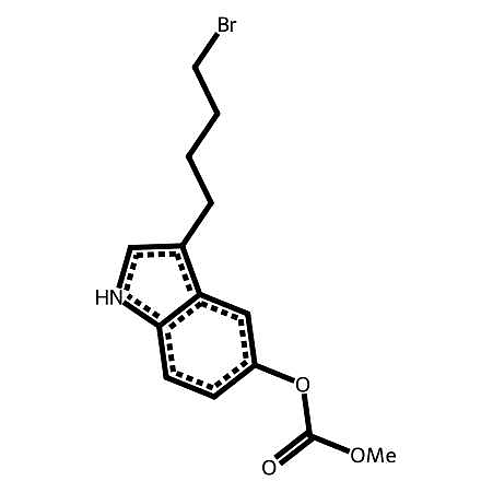 COC(=O)Oc1ccc2[nH]cc(CCCCBr)c2c1